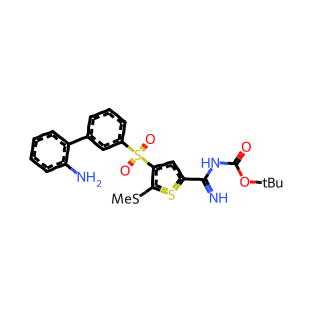 CSc1sc(C(=N)NC(=O)OC(C)(C)C)cc1S(=O)(=O)c1cccc(-c2ccccc2N)c1